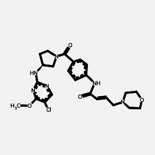 COc1nc(N[C@H]2CCN(C(=O)c3ccc(NC(=O)/C=C/CN4CCOCC4)cc3)C2)ncc1Cl